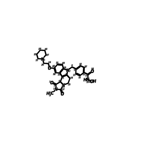 CN1C(=O)C2c3c(n(Cc4ccc(C(=O)NO)cc4)c4ccc(OCCN5CCCCC5)cc34)CCN2C1=O